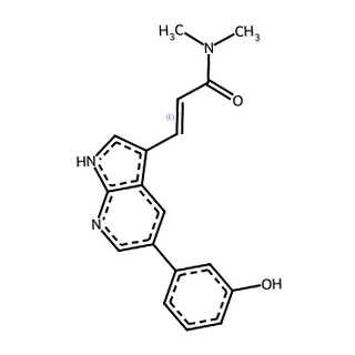 CN(C)C(=O)/C=C/c1c[nH]c2ncc(-c3cccc(O)c3)cc12